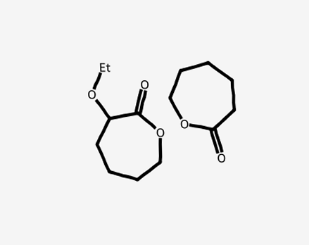 CCOC1CCCCOC1=O.O=C1CCCCCO1